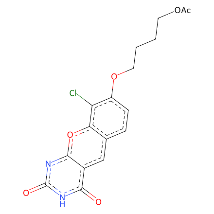 CC(=O)OCCCCOc1ccc2cc3c(=O)[nH]c(=O)nc-3oc2c1Cl